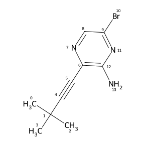 CC(C)(C)C#Cc1ncc(Br)nc1N